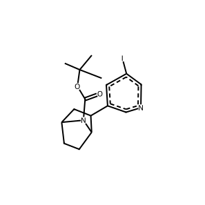 CC(C)(C)OC(=O)N1C2CCC1C(c1cncc(I)c1)C2